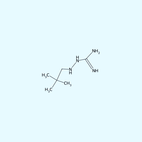 CC(C)(C)CNNC(=N)N